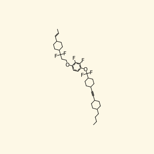 C/C=C/C1CCC(C(F)(F)CCOc2ccc(OC(F)(F)C3CCC(C#CC4CCC(CCCC)CC4)CC3)c(F)c2F)CC1